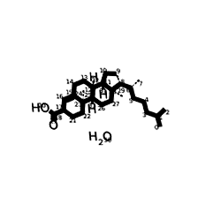 CC(C)CCC[C@@H](C)[C@H]1CC[C@H]2[C@@H]3CCC4=CC(C(=O)O)CC[C@]4(C)[C@H]3CC[C@]12C.O